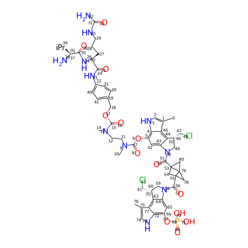 Cc1c[nH]c2c(OC(=O)N(C)CCN(C)C(=O)OCc3ccc(NC(=O)[C@H](CCCNC(N)=O)NC(=O)[C@@H](N)C(C)C)cc3)cc3c(c12)[C@H](CCl)CN3C(=O)C12CC3(C(=O)N4C[C@@H](CCl)c5c4cc(OP(=O)(O)O)c4[nH]cc(C)c54)CC13C2